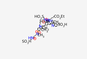 CCOC(=O)CCCCCNC(=O)C1(C(=O)NCCS(=O)(=O)O)CC(/C=C/C2=Nc3ccc(S(=O)(=O)O)cc3C2(C)C)=CC(=C/C=C2/N(CCCS(=O)(=O)O)c3ccc(S(=O)(=O)N(C)CCCC(=O)NCCS(=O)(=O)O)cc3C2(C)C)/C1